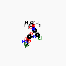 CC(C)(C)OC(=O)N1CC[C@@H](c2ccc(Cl)cc2)[C@H](COc2ccc(S(=O)(=O)NCC(F)(F)F)cc2C#N)C1